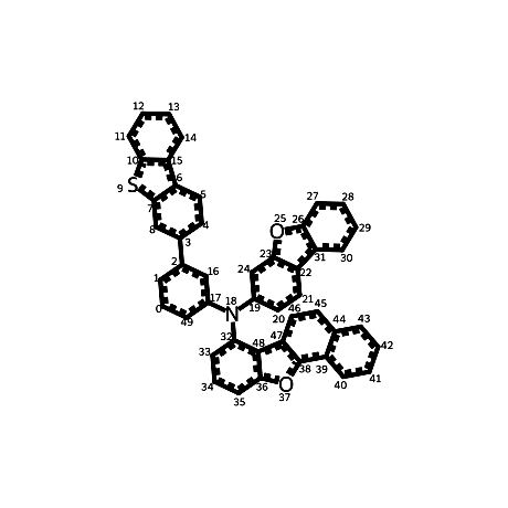 c1cc(-c2ccc3c(c2)sc2ccccc23)cc(N(c2ccc3c(c2)oc2ccccc23)c2cccc3oc4c5ccccc5ccc4c23)c1